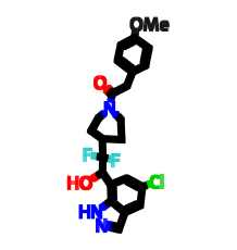 COc1ccc(CC(=O)N2CCC(C(F)(F)C(O)c3cc(Cl)cc4cn[nH]c34)CC2)cc1